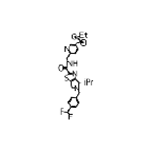 CCS(=O)(=O)c1ccc(CNC(=O)c2nc3c(s2)CN(Cc2ccc(C(F)F)cc2)[C@H]3C(C)C)nc1